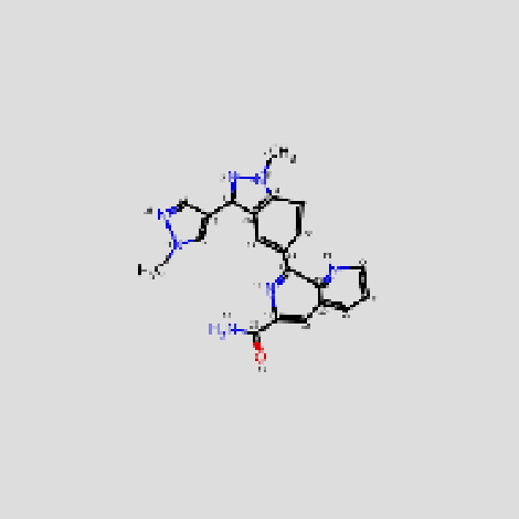 Cn1cc(-c2nn(C)c3ccc(-c4nc(C(N)=O)cc5cccnc45)cc23)cn1